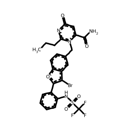 CCCc1nc(=O)cc(C(N)=O)n1Cc1ccc2oc(-c3ccccc3NS(=O)(=O)C(F)(F)F)c(Br)c2c1